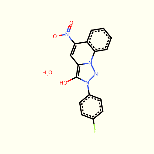 O.O=[N+]([O-])C1=CC2=C(O)N(c3ccc(F)cc3)[N]N2c2ccccc21